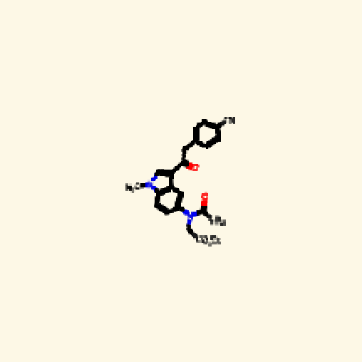 CCCCC(=O)N(CC(=O)OCC)c1ccc2c(c1)c(C(=O)Cc1ccc(C#N)cc1)cn2C